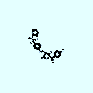 CC1=NN(C(=O)c2ccc(Cl)cc2)C(=O)C1/N=N/c1ccc(S(=O)(=O)N(C)c2ncccn2)cc1